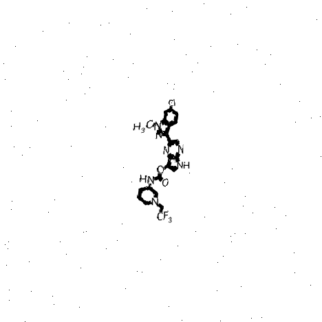 Cn1nc(-c2cnc3[nH]cc(OC(=O)N[C@@H]4CCCN(CC(F)(F)F)C4)c3n2)c2ccc(Cl)cc21